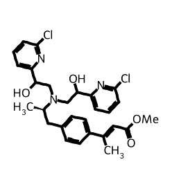 COC(=O)C=C(C)c1ccc(C[C@@H](C)N(CC(O)c2cccc(Cl)n2)CC(O)c2cccc(Cl)n2)cc1